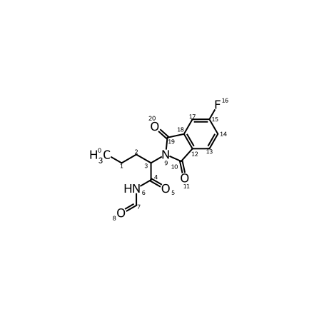 CCCC(C(=O)NC=O)N1C(=O)c2ccc(F)cc2C1=O